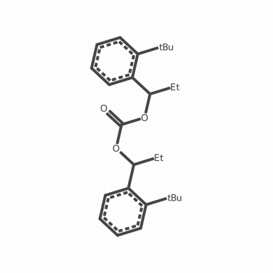 CCC(OC(=O)OC(CC)c1ccccc1C(C)(C)C)c1ccccc1C(C)(C)C